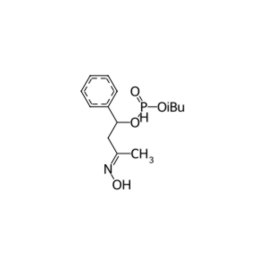 CC(CC(O[PH](=O)OCC(C)C)c1ccccc1)=NO